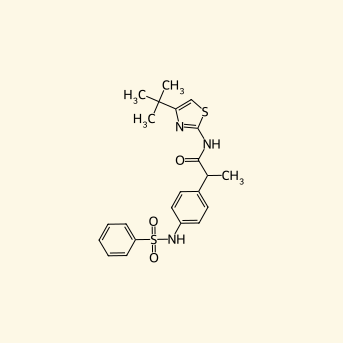 CC(C(=O)Nc1nc(C(C)(C)C)cs1)c1ccc(NS(=O)(=O)c2ccccc2)cc1